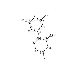 [CH2]N1CCN(c2cc(C)cc(C)c2)C(=O)C1